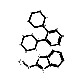 NSc1nc2ccccc2s1.c1ccc(C2CCCCC2)c(C2CCCCC2)c1